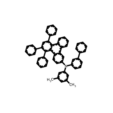 Cc1cc(C)cc(N(c2cccc(-c3ccccc3)c2)c2ccc3c(c2)c2ccccc2c2c(-c4ccccc4)cc(-c4ccccc4)c(-c4ccccc4)c32)c1